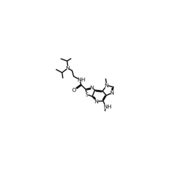 CNc1nc2sc(C(=O)NCCN(C(C)C)C(C)C)nc2c2c1ncn2C